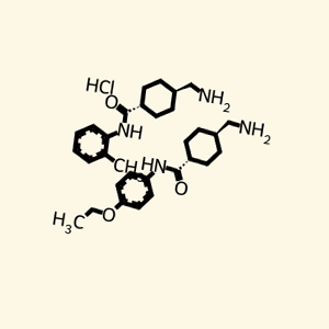 CCOc1ccc(NC(=O)[C@H]2CC[C@H](CN)CC2)cc1.Cc1ccccc1NC(=O)[C@H]1CC[C@H](CN)CC1.Cl